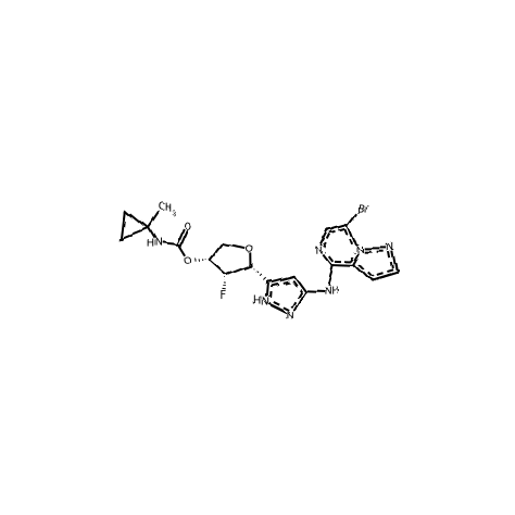 CC1(NC(=O)O[C@@H]2CO[C@H](c3cc(Nc4ncc(Br)n5nccc45)n[nH]3)[C@@H]2F)CC1